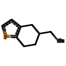 CC(C)(C)CC1CCc2sccc2C1